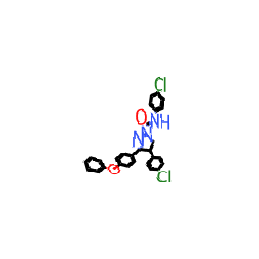 O=C(Nc1ccc(Cl)cc1)N1CC(c2ccc(Cl)cc2)C(c2ccc(Oc3ccccc3)cc2)=N1